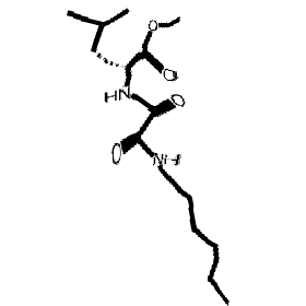 CCCCCCNC(=O)C(=O)N[C@H](CC(C)C)C(=O)OC